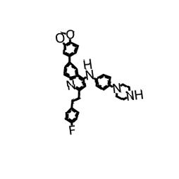 Fc1ccc(CCc2cc(Nc3ccc(N4CCNCC4)cc3)c3cc(-c4ccc5c(c4)OCO5)ccc3n2)cc1